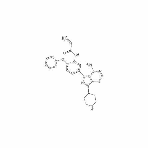 C=CC(=O)Nc1cc(-c2nn(C3CCNCC3)c3ncnc(N)c23)ccc1Oc1ccccc1